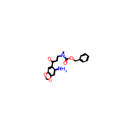 CN(CCC(=O)c1cc2c(cc1N)OCO2)C(=O)OCc1ccccc1